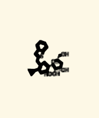 OC[C@@H]1C[C@H](O)[C@H](O)[C@H](c2cc(Cc3cc4ccccc4s3)c(C3CC3)cc2O)O1